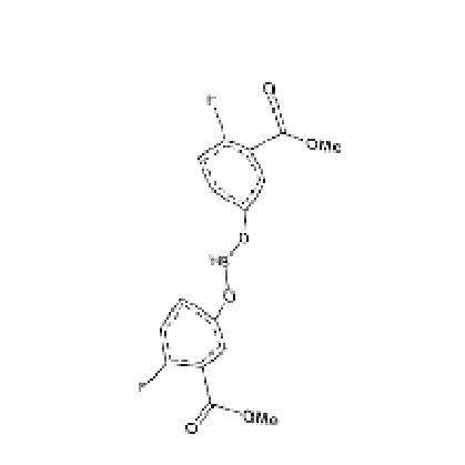 COC(=O)c1cc(OBOc2ccc(F)c(C(=O)OC)c2)ccc1F